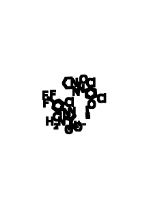 C#CCOc1cc(-n2nc3n(c2=O)CCCC3)c(Cl)cc1Cl.Nc1c([N+](=O)[O-])cnn1-c1c(Cl)cc(C(F)(F)F)cc1Cl